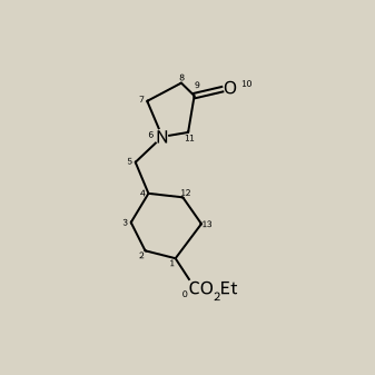 CCOC(=O)C1CCC(CN2CCC(=O)C2)CC1